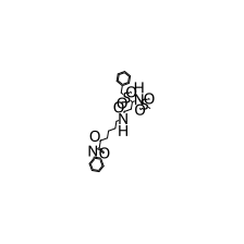 CS(=O)(=O)NC(CC(=O)NCCCCC(=O)c1nc2ccccc2o1)S(=O)(=O)Cc1ccccc1